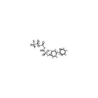 O=C(CNS(=O)(=O)C[n+]1ccc(-c2ncccn2)cc1)OC(=O)C(F)(F)F